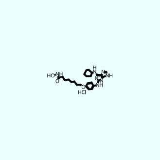 Cl.O=C(CCCCCCCOc1ccc(Nc2nc(NC3CCCCC3)c3nc[nH]c3n2)cc1)NO